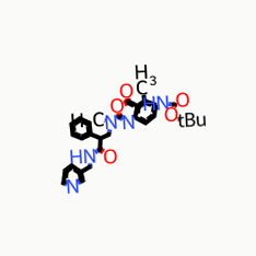 Cc1c(NC(=O)OC(C)(C)C)ccc2nc(N(C)CC(C(=O)NCc3cccnc3)c3ccccc3)oc(=O)c12